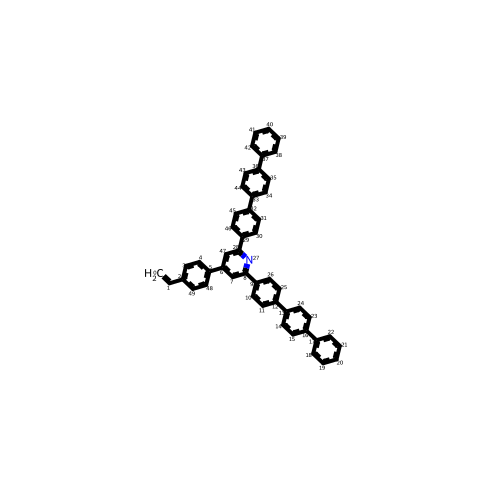 C=Cc1ccc(-c2cc(-c3ccc(-c4ccc(-c5ccccc5)cc4)cc3)nc(-c3ccc(-c4ccc(-c5ccccc5)cc4)cc3)c2)cc1